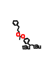 CC(OCCCc1ccccc1)Oc1ccc([C@@H](CC(C)(C)C)C(C)(C)C)cc1